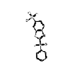 O=S(=O)(Cl)c1ccc2nc(S(=O)(=O)c3ccccc3)sc2c1